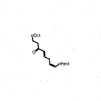 CCCCC/C=C\CC=CC(=O)CCCCCCCCCC